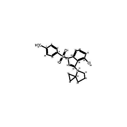 Cc1ccc(S(=O)(=O)n2nc(N3CCCC34CC4)c3c(Cl)cccc32)cc1